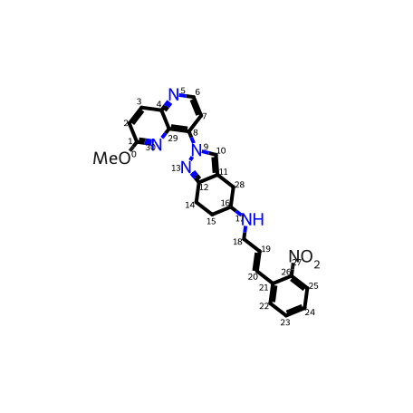 COc1ccc2nccc(-n3cc4c(n3)CCC(NCC=Cc3ccccc3[N+](=O)[O-])C4)c2n1